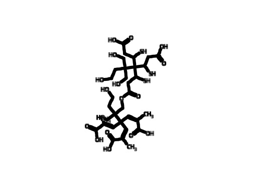 CC(=CC(C=C(C)C(=O)O)(C=C(C)C(=O)O)C(CO)(CCO)COC(=O)CC(S)C(C(S)CC(=O)O)(C(S)CC(=O)O)C(CO)(CO)CCO)C(=O)O